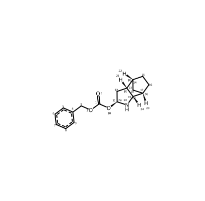 O=C(OCc1ccccc1)O[C@H]1C[C@@H]2[C@@H]3CC[C@@H](C3)[C@@H]2N1